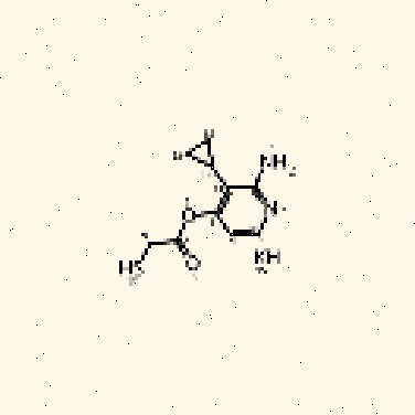 Nc1nccc(OC(=O)CS)c1C1CC1.[KH]